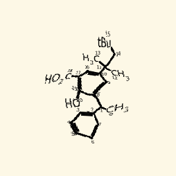 CC(c1ccccc1)c1cc(C(C)(C)CC(C)(C)C)cc(C(=O)O)c1O